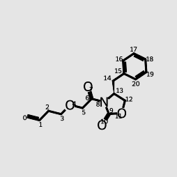 C=CCCOCC(=O)N1C(=O)OC[C@@H]1Cc1ccccc1